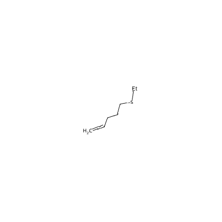 C=CCCCSCC